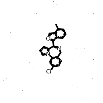 Cc1cccc2c(C3=NCc4ccc(Cl)cc4-n4cccc43)occ12